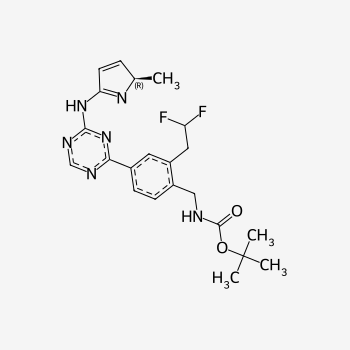 C[C@@H]1C=CC(Nc2ncnc(-c3ccc(CNC(=O)OC(C)(C)C)c(CC(F)F)c3)n2)=N1